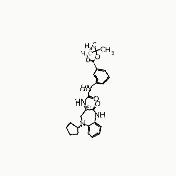 CC(C)(C)OC(=O)c1cccc(NC(=O)N[C@@H]2CN(C3CCCC3)c3ccccc3NC2=O)c1